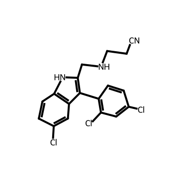 N#CCCNCc1[nH]c2ccc(Cl)cc2c1-c1ccc(Cl)cc1Cl